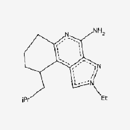 CCn1cc2c3c(nc(N)c2n1)CCCC3CC(C)C